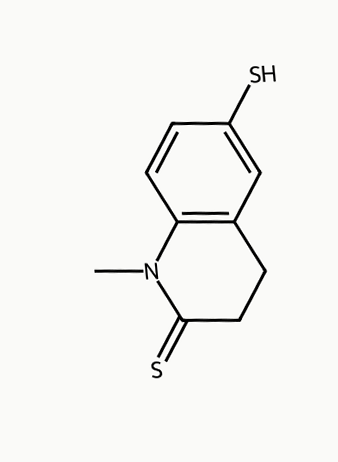 CN1C(=S)CCc2cc(S)ccc21